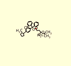 C[C@@H]1CCCC1c1ccc(C(OC(=O)CCC(=O)OC(C)(C)C)(c2ccccc2)c2ccccc2Cl)cc1